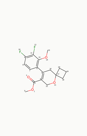 COC(=O)C1=C(c2ccc(F)c(F)c2OC)CC2(CCC2)OC1